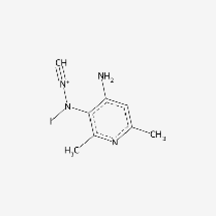 C#[N+]N(I)c1c(N)cc(C)nc1C